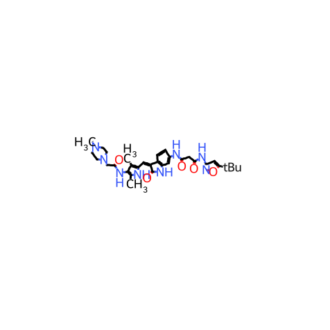 Cc1[nH]c(/C=C2\C(=O)Nc3cc(NC(=O)CC(=O)Nc4cc(C(C)(C)C)on4)ccc32)c(C)c1NC(=O)CN1CCN(C)CC1